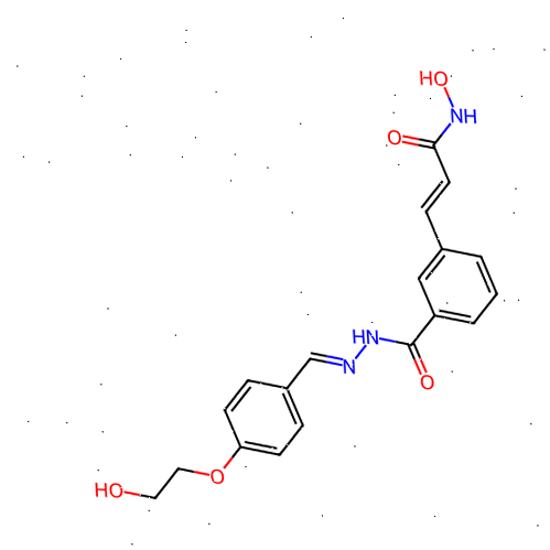 O=C(/C=C/c1cccc(C(=O)N/N=C/c2ccc(OCCO)cc2)c1)NO